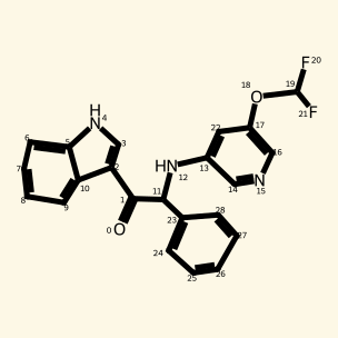 O=C(c1c[nH]c2ccccc12)C(Nc1cncc(OC(F)F)c1)c1ccccc1